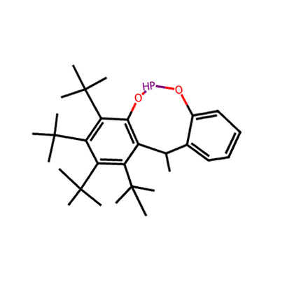 CC1c2ccccc2OPOc2c1c(C(C)(C)C)c(C(C)(C)C)c(C(C)(C)C)c2C(C)(C)C